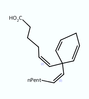 CCCCC/C=C\C1(/C=C\CCCC(=O)O)C=CCC=C1